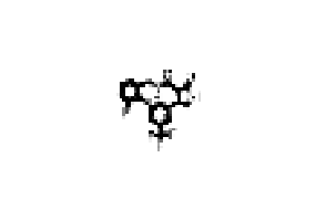 O=C(NCc1cccc(F)c1F)C1C(=O)NCC1c1cccc(C(F)(F)F)c1